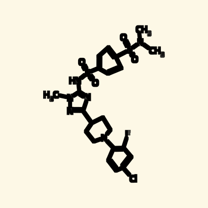 CN(C)S(=O)(=O)c1ccc(S(=O)(=O)Nc2nc(C3CCN(c4ccc(Cl)cc4F)CC3)nn2C)cc1